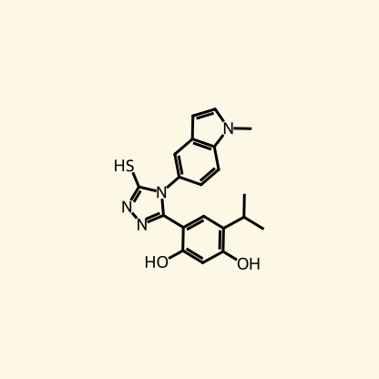 CC(C)c1cc(-c2nnc(S)n2-c2ccc3c(ccn3C)c2)c(O)cc1O